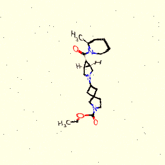 CCOC(=O)N1CCC2(CC(N3C[C@@H]4[C@H](C3)[C@H]4C(=O)N3CCCC[C@@H]3C)C2)C1